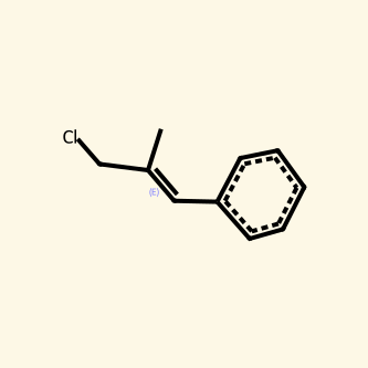 C/C(=C\c1ccccc1)CCl